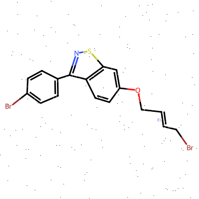 BrC/C=C/COc1ccc2c(-c3ccc(Br)cc3)nsc2c1